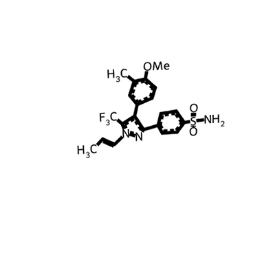 CC=Cn1nc(-c2ccc(S(N)(=O)=O)cc2)c(-c2ccc(OC)c(C)c2)c1C(F)(F)F